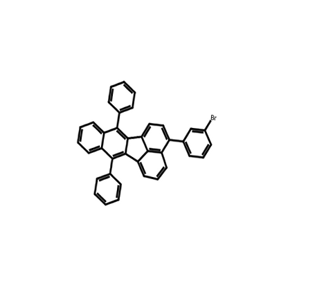 Brc1cccc(-c2ccc3c4c(cccc24)-c2c-3c(-c3ccccc3)c3ccccc3c2-c2ccccc2)c1